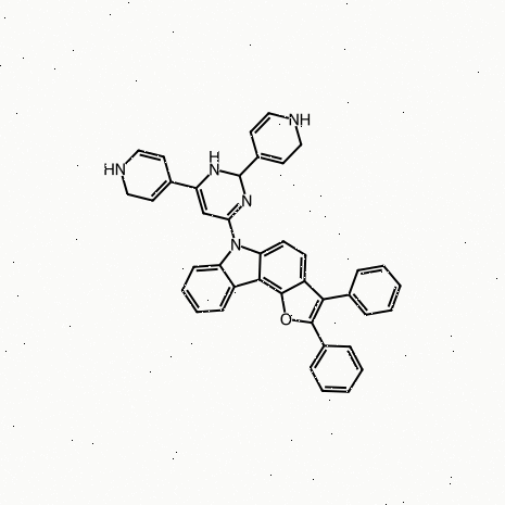 C1=CC(C2=CC(n3c4ccccc4c4c5oc(-c6ccccc6)c(-c6ccccc6)c5ccc43)=NC(C3=CCNC=C3)N2)=CCN1